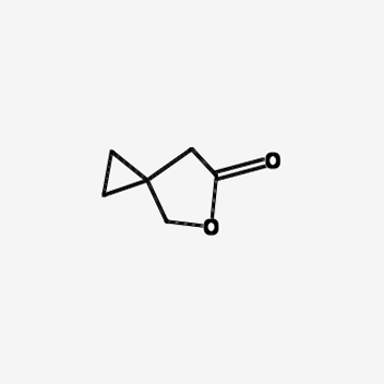 O=C1CC2(CC2)CO1